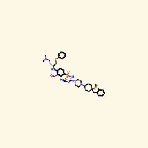 COC1(Cc2ccccc2F)CCC(N2CCN(/C(=N/C#N)NS(=O)(=O)c3ccc(N[C@H](CCN(C)C)CSc4ccccc4)c(N=O)c3)CC2)CC1